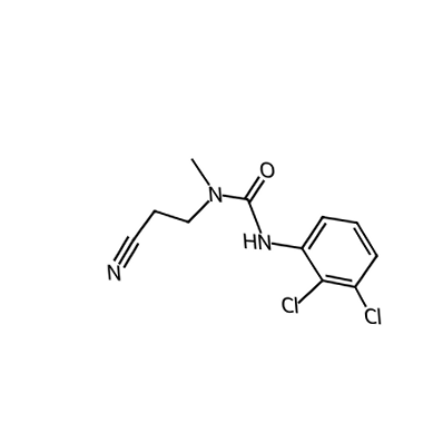 CN(CCC#N)C(=O)Nc1cccc(Cl)c1Cl